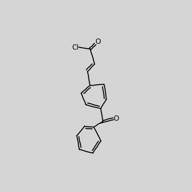 O=C(Cl)C=Cc1ccc(C(=O)c2ccccc2)cc1